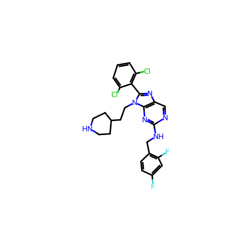 Fc1ccc(CNc2ncc3nc(-c4c(Cl)cccc4Cl)n(CCC4CCNCC4)c3n2)c(F)c1